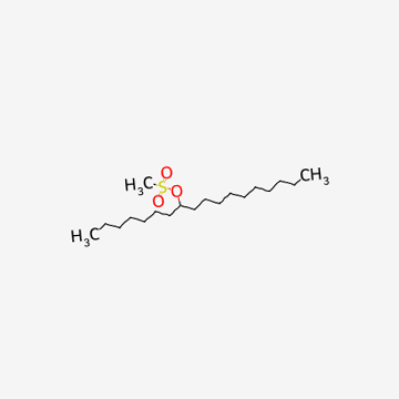 CCCCCCCCCCC(CCCCCCC)OS(C)(=O)=O